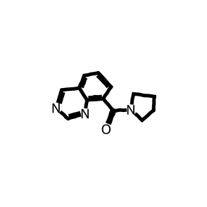 O=C(c1cccc2cncnc12)N1CCCC1